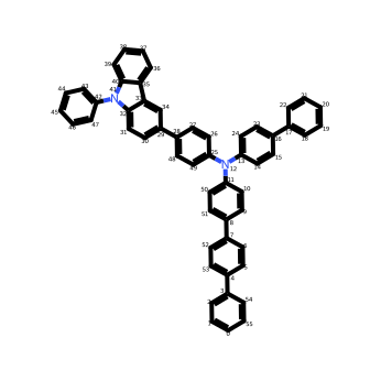 c1ccc(-c2ccc(-c3ccc(N(c4ccc(-c5ccccc5)cc4)c4ccc(-c5ccc6c(c5)c5ccccc5n6-c5ccccc5)cc4)cc3)cc2)cc1